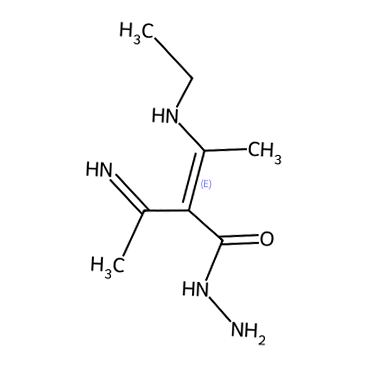 CCN/C(C)=C(\C(C)=N)C(=O)NN